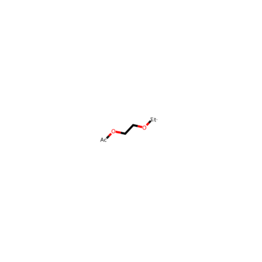 C[CH]OCCOC(C)=O